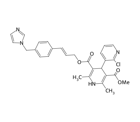 COC(=O)C1=C(C)NC(C)=C(C(=O)OCC=Cc2ccc(Cn3ccnc3)cc2)C1c1cccnc1Cl